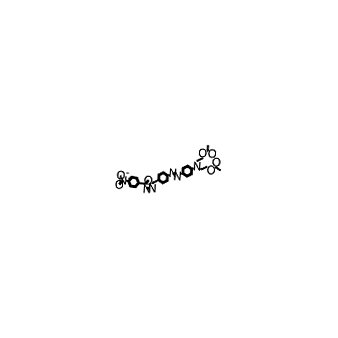 CC(=O)OCCN(CCOC(C)=O)c1ccc(N=Nc2ccc(-c3nnc(-c4ccc([N+](=O)[O-])cc4)o3)cc2)cc1